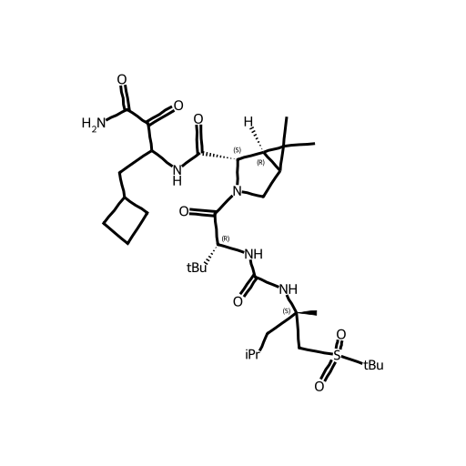 CC(C)C[C@@](C)(CS(=O)(=O)C(C)(C)C)NC(=O)N[C@@H](C(=O)N1CC2[C@@H]([C@H]1C(=O)NC(CC1CCC1)C(=O)C(N)=O)C2(C)C)C(C)(C)C